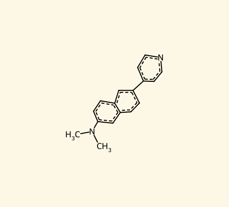 CN(C)c1ccc2cc(-c3ccncc3)ccc2c1